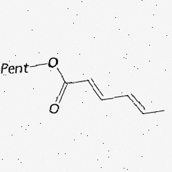 C/C=C/C=C/C(=O)OCCCCC